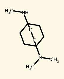 CNC12CCC(N(C)C)(CC1)CC2